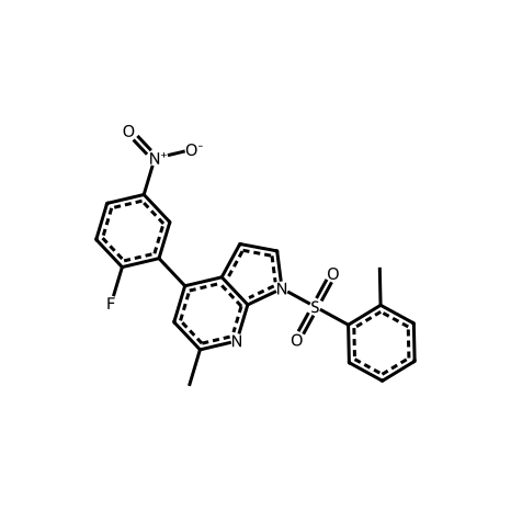 Cc1cc(-c2cc([N+](=O)[O-])ccc2F)c2ccn(S(=O)(=O)c3ccccc3C)c2n1